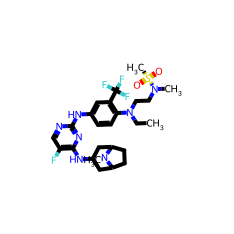 CCN(CCN(C)S(C)(=O)=O)c1ccc(Nc2ncc(F)c(NC3CC4CCC(C3)N4C)n2)cc1C(F)(F)F